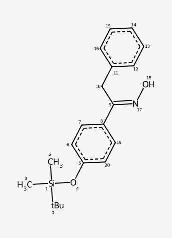 CC(C)(C)[Si](C)(C)Oc1ccc(/C(Cc2ccccc2)=N/O)cc1